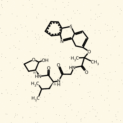 CC(C)C[C@H](NC(=O)CNC(=O)C(C)(C)OC1=CC=C2Sc3ccccc3N=C2C1)C(=O)N[C@H]1CCOC1O